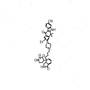 CCc1cc2c(cc1N1CCN(CCCCC3(C4CCC(=O)NC4=O)C=CC=C4C(=O)NCC43)CC1)C(C)(C)c1[nH]c3cc(C#N)ccc3c1C2=O